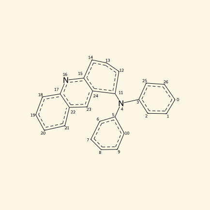 c1ccc(N(c2ccccc2)c2cccc3nc4ccccc4cc23)cc1